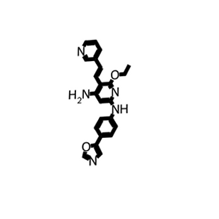 CCOc1nc(Nc2ccc(-c3cnco3)cc2)cc(N)c1/C=C/c1cccnc1